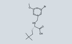 COc1cc(Br)cc(CN[C@@H](CCC(C)(C)C)C(=O)O)c1